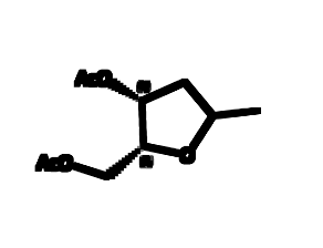 CC(=O)OC[C@H]1OC(C)C[C@H]1OC(C)=O